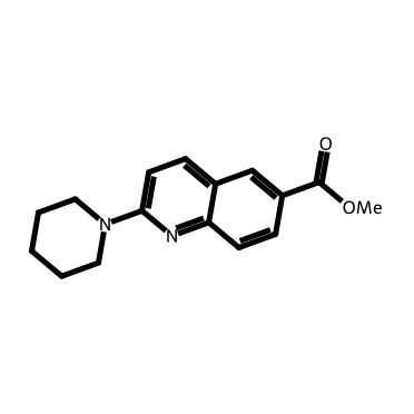 COC(=O)c1ccc2nc(N3CCCCC3)ccc2c1